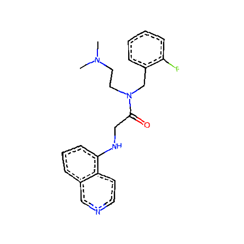 CN(C)CCN(Cc1ccccc1F)C(=O)CNc1cccc2cnccc12